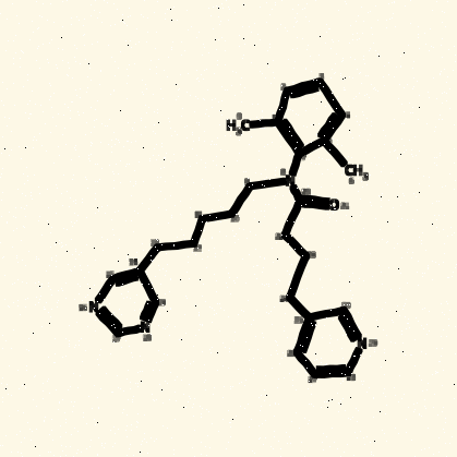 Cc1cccc(C)c1N(CCCCCc1cncnc1)C(=O)CCCc1cccnc1